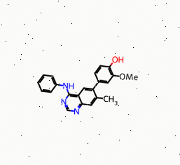 COc1cc(-c2cc3c(Nc4ccccc4)ncnc3cc2C)ccc1O